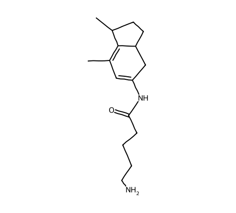 CC1=C2C(C)CCC2CC(NC(=O)CCCCN)=C1